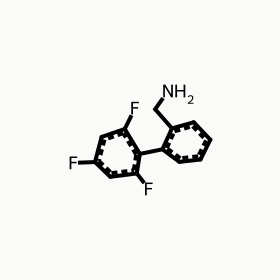 NCc1ccccc1-c1c(F)cc(F)cc1F